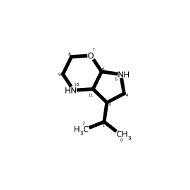 CC(C)C1CNC2OCCNC21